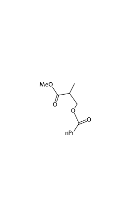 [CH2]CCC(=O)OCC(C)C(=O)OC